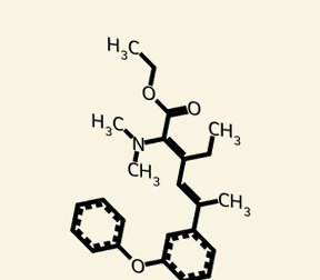 CCOC(=O)C(=C(C=C(C)c1cccc(Oc2ccccc2)c1)CC)N(C)C